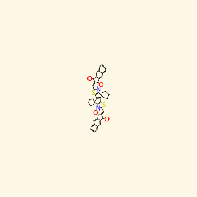 O=C1C(=Cc2nc3c(s2)C2=C(c4sc(C=C5C(=O)c6cc7ccccc7cc6C5=O)nc4C24CCCCC4)C32CCCCC2)C(=O)c2cc3ccccc3cc21